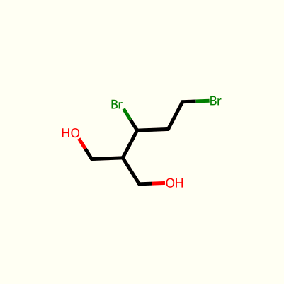 OCC(CO)C(Br)CCBr